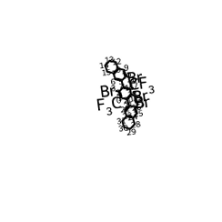 FC(F)(F)c1c(Br)c(-c2cc3c(cc2Br)CCCC3)c(C(F)(F)F)c(Br)c1-c1cc2c(cc1Br)CCCC2